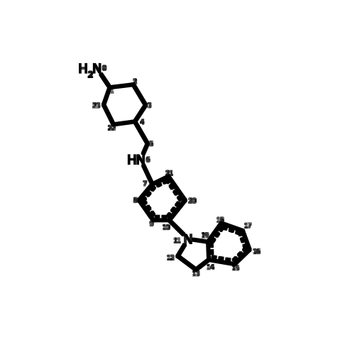 NC1CCC(CNc2ccc(N3CCc4ccccc43)cc2)CC1